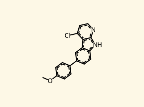 COc1ccc(-c2ccc3[nH]c4nccc(Cl)c4c3c2)cc1